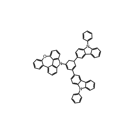 C1=C(c2ccc3c(c2)c2ccccc2n3-c2ccccc2)C=C(n2c3cccc4oc5ccccc5c5cccc2c5c43)CC1c1ccc2c(c1)c1ccccc1n2-c1ccccc1